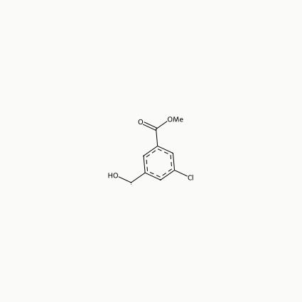 COC(=O)c1cc(Cl)cc([CH]O)c1